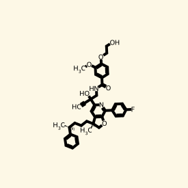 C#CC(O)(CNC(=O)c1ccc(OCCO)c(OC)c1)c1cc2c(c(-c3ccc(F)cc3)n1)OC[C@@]2(C)CCC[C@@H](C)c1ccccc1